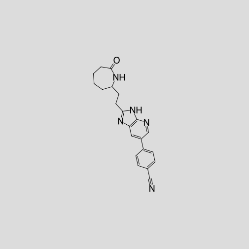 N#Cc1ccc(-c2cnc3[nH]c(CCC4CCCCC(=O)N4)nc3c2)cc1